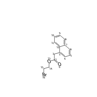 O=C(Cc1cccc2ccccc12)OCCBr